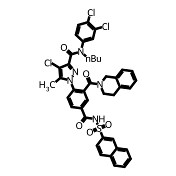 CCCCN(C(=O)c1nn(-c2ccc(C(=O)NS(=O)(=O)c3ccc4ccccc4c3)cc2C(=O)N2CCc3ccccc3C2)c(C)c1Cl)c1ccc(Cl)c(Cl)c1